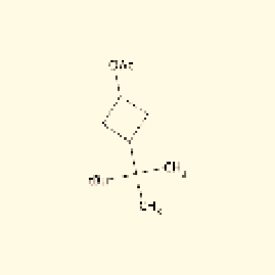 CC(=O)OC1CC(C(C)(C)C(C)(C)C)C1